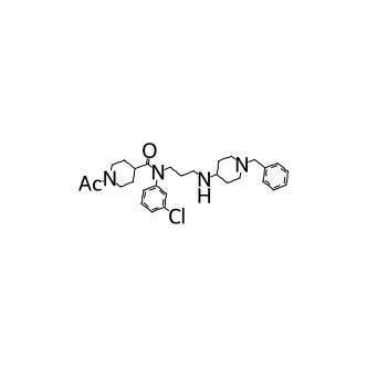 CC(=O)N1CCC(C(=O)N(CCCNC2CCN(Cc3ccccc3)CC2)c2cccc(Cl)c2)CC1